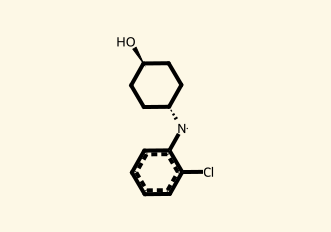 O[C@H]1CC[C@H]([N]c2ccccc2Cl)CC1